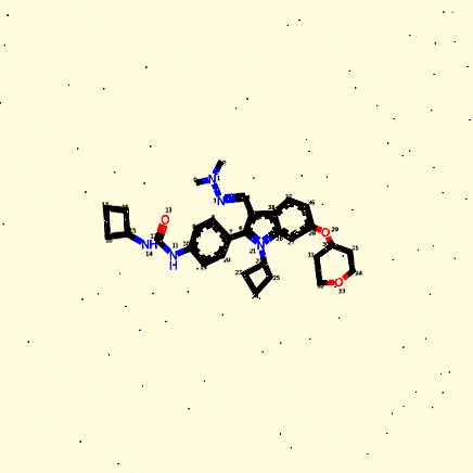 CN(C)N=Cc1c(-c2ccc(NC(=O)NC3CCC3)cc2)n(C2CCC2)c2cc(OC3CCOCC3)ccc12